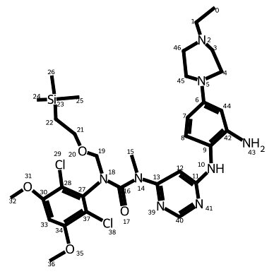 CCN1CCN(c2ccc(Nc3cc(N(C)C(=O)N(COCC[Si](C)(C)C)c4c(Cl)c(OC)cc(OC)c4Cl)ncn3)c(N)c2)CC1